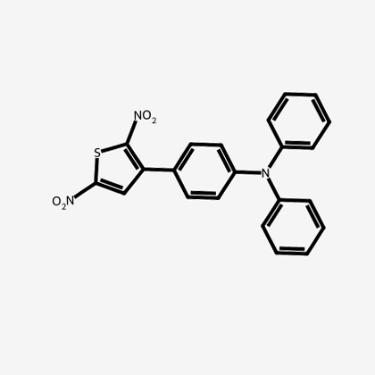 O=[N+]([O-])c1cc(-c2ccc(N(c3ccccc3)c3ccccc3)cc2)c([N+](=O)[O-])s1